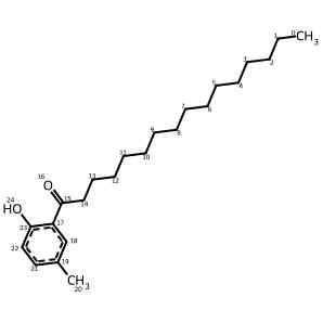 CCCCCCCCCCCCCCCC(=O)c1cc(C)ccc1O